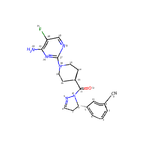 N#Cc1cccc([C@@H]2CC=NN2C(=O)C2CCN(c3ncc(F)c(N)n3)CC2)c1